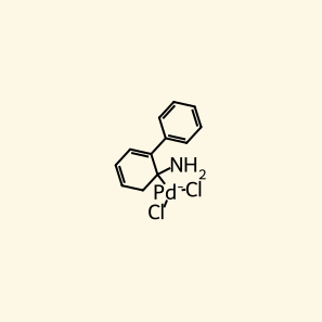 N[C]1([Pd-]([Cl])[Cl])CC=CC=C1c1ccccc1